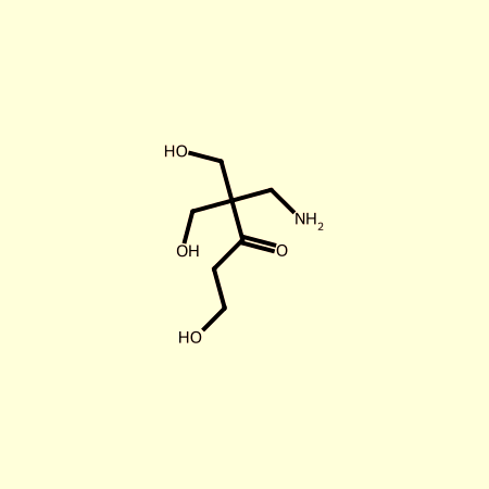 NCC(CO)(CO)C(=O)CCO